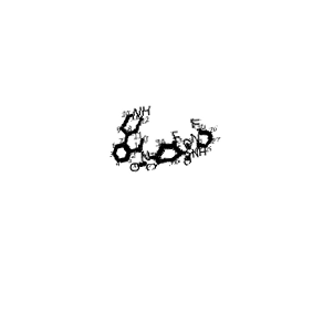 CC(c1ccccc1C1C=CNCC1)n1c(=O)oc2cc(S(=O)(=O)Nc3cccc(F)n3)c(F)cc21